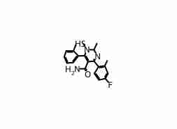 Cc1cc(F)ccc1C1=NC(C)N(S)C(c2ccccc2C)=C1C(N)=O